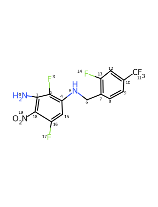 Nc1c(F)c(NCc2ccc(C(F)(F)F)cc2F)cc(F)c1[N+](=O)[O-]